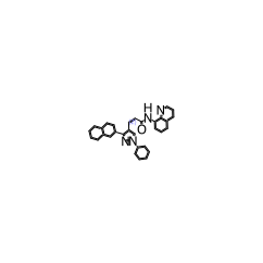 O=C(/C=C\c1cn(-c2ccccc2)nc1-c1ccc2ccccc2c1)Nc1cccc2cccnc12